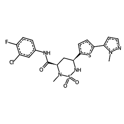 CN1[C@@H](C(=O)Nc2ccc(F)c(Cl)c2)C[C@@H](c2ccc(-c3ccnn3C)s2)NS1(=O)=O